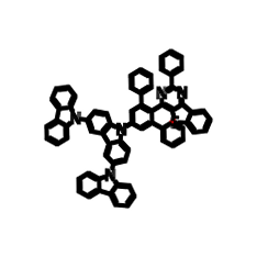 c1ccc(-c2nc(-c3c(-c4ccccc4)cc(-n4c5ccc(-n6c7ccccc7c7ccccc76)cc5c5cc(-n6c7ccccc7c7ccccc76)ccc54)cc3-c3ccccc3)c3sc4ccccc4c3n2)cc1